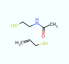 C=CCS.CC(=O)NCCS